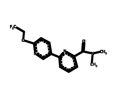 CN(C)C(=O)c1cccc(-c2ccc(OCC(F)(F)F)nc2)n1